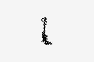 C=CC(=O)OCCCCCCCCOc1ccc2cc(-c3cccc(C#N)c3)c(=O)oc2n1